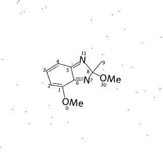 COc1cccc2c1=NC(C)(OC)N=2